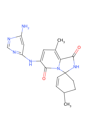 Cc1cc(Nc2cc(N)ncn2)c(=O)n2c1C(=O)NC21C=CC(C)CC1